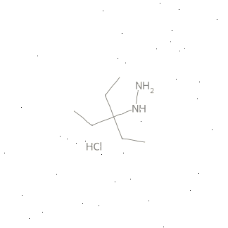 CCC(CC)(CC)NN.Cl